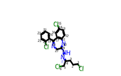 ClCCC/C(CCl)=N\NC1=Nc2ccc(Cl)cc2C(c2ccccc2Cl)=NC1